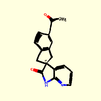 COC(=O)c1ccc2c(c1)C[C@]1(C2)C(=O)Nc2ncccc21